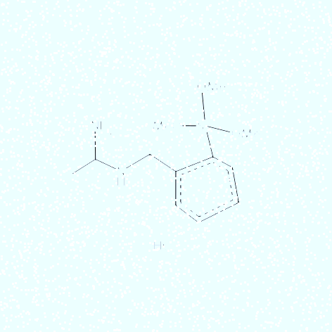 CO[Si](OC)(OC)c1ccccc1CNC(C)N.Cl